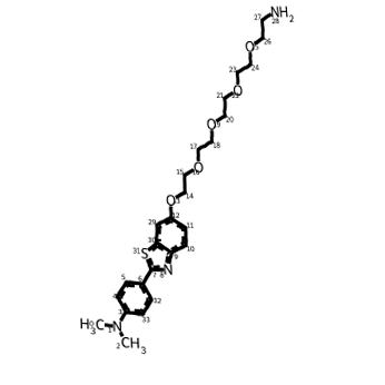 CN(C)c1ccc(-c2nc3ccc(OCCOCCOCCOCCOCCN)cc3s2)cc1